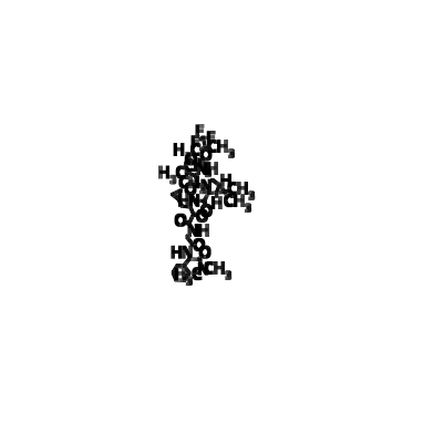 CN(C)C(=O)[C@@H](NC(=O)CNC(=O)C(=O)C(CC1CC1)NC(=O)[C@@H]1[C@@H]2[C@H](CN1C(=O)C(NC(=O)OC(C)(C)C(F)(F)F)C(C)(C)C)C2(C)C)c1ccccc1